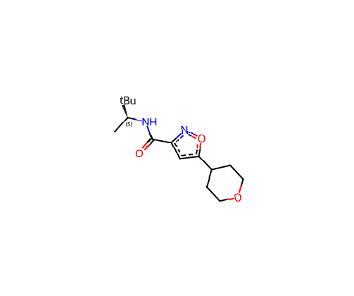 C[C@H](NC(=O)c1cc(C2CCOCC2)on1)C(C)(C)C